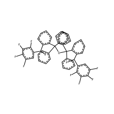 Fc1cc(C(F)c2ccccc2C(OC(c2ccccc2)(c2ccccc2)c2ccccc2C(F)c2cc(F)c(F)c(F)c2F)(c2ccccc2)c2ccccc2)c(F)c(F)c1F